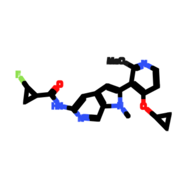 COc1nccc(OC2CC2)c1-c1cc2cc(NC(=O)C3CC3F)ncc2n1C